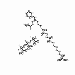 CC(N)CCN(CCCCNC(=O)OCC(=O)NCCCCCCNC(=N)N)Cc1ccccc1.O=C(O)C(F)(F)F.O=C(O)C(F)(F)F.O=C(O)C(F)(F)F